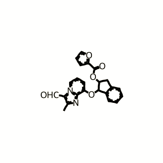 Cc1nc2c(OC3c4ccccc4CC3OC(=O)c3ccco3)cccn2c1C=O